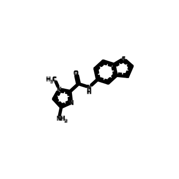 Cn1cc(N)nc1C(=O)Nc1ccc2sccc2c1